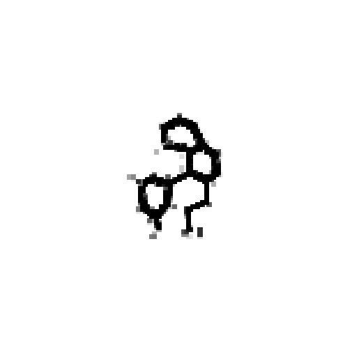 OCCc1ccc2cccnc2c1-c1cncc(F)c1